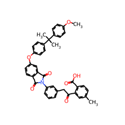 COc1ccc(C(C)(C)c2ccc(Oc3ccc4c(c3)C(=O)N(c3cccc(CC(=O)c5cc(C)ccc5C(=O)O)c3)C4=O)cc2)cc1